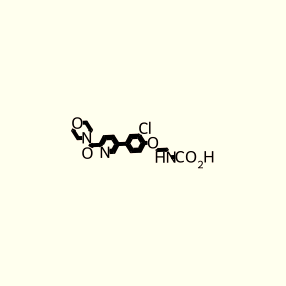 O=C(O)NCCOc1ccc(-c2ccc(C(=O)N3CCOCC3)nc2)cc1Cl